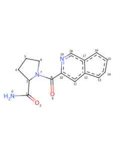 NC(=O)C1CCCN1C(=O)c1cc2ccccc2cn1